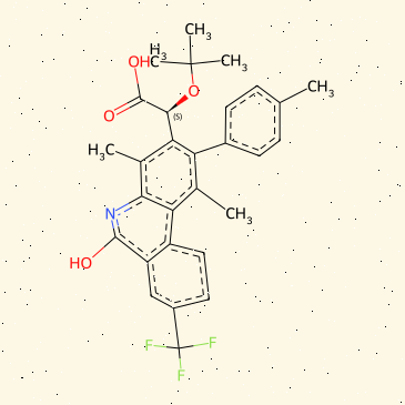 Cc1ccc(-c2c([C@H](OC(C)(C)C)C(=O)O)c(C)c3nc(O)c4cc(C(F)(F)F)ccc4c3c2C)cc1